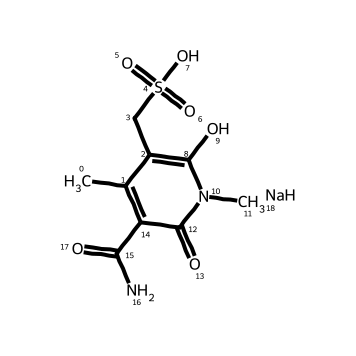 Cc1c(CS(=O)(=O)O)c(O)n(C)c(=O)c1C(N)=O.[NaH]